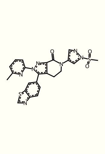 Cc1cccc(-n2nc3c(c2-c2ccc4ncsc4c2)CCN(c2cnn(S(C)(=O)=O)c2)C3=O)n1